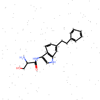 NC(CO)C(=O)Nc1c[nH]c2cc(CCc3ccccc3)ccc12